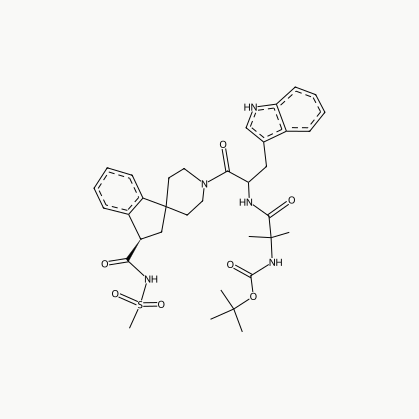 CC(C)(C)OC(=O)NC(C)(C)C(=O)NC(Cc1c[nH]c2ccccc12)C(=O)N1CCC2(CC1)C[C@@H](C(=O)NS(C)(=O)=O)c1ccccc12